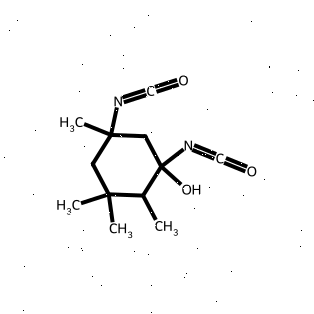 CC1C(C)(C)CC(C)(N=C=O)CC1(O)N=C=O